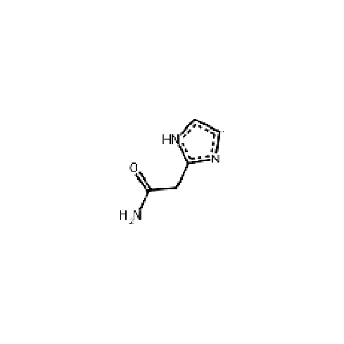 NC(=O)Cc1n[c]c[nH]1